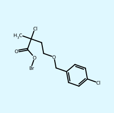 CC(Cl)(CCOCc1ccc(Cl)cc1)C(=O)OBr